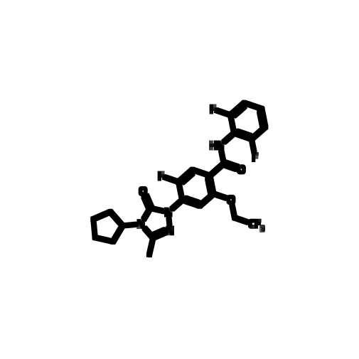 Cc1nn(-c2cc(OCC(F)(F)F)c(C(=O)Nc3c(F)cccc3F)cc2F)c(=O)n1C1CCCC1